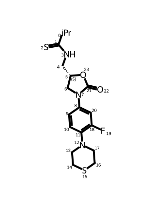 CC(C)C(=S)NC[C@H]1CN(c2ccc(N3CCSCC3)c(F)c2)C(=O)O1